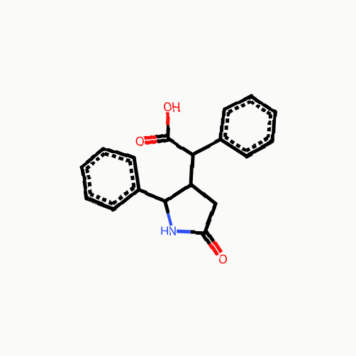 O=C1CC(C(C(=O)O)c2ccccc2)C(c2ccccc2)N1